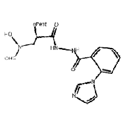 CCCCC[C@H](CN(O)C=O)C(=O)NNC(=O)c1ccccc1-n1ccnc1